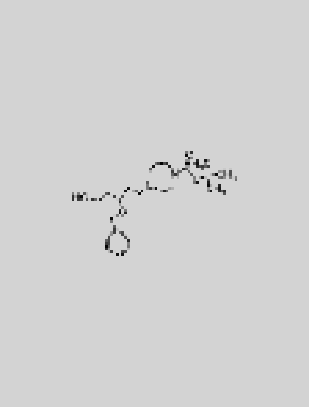 CC(C)(C)OC(=O)N1CCCN(CCC(CCO)OCc2ccccc2)CC1